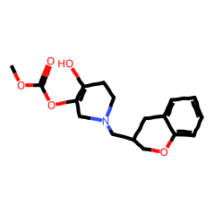 COC(=O)OC1=C(O)CCN(CC2COc3ccccc3C2)C1